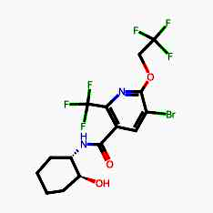 O=C(N[C@H]1CCCC[C@@H]1O)c1cc(Br)c(OCC(F)(F)F)nc1C(F)(F)F